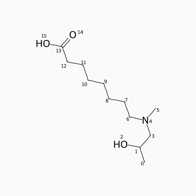 CC(O)CN(C)CCCCCCCC(=O)O